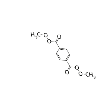 COOC(=O)c1ccc(C(=O)OOC)cc1